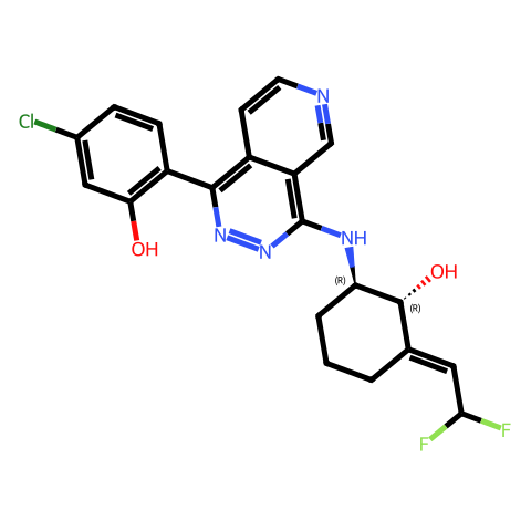 Oc1cc(Cl)ccc1-c1nnc(N[C@@H]2CCCC(=CC(F)F)[C@H]2O)c2cnccc12